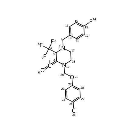 O=C=C1C(C(F)(F)F)N(Cc2ccc(F)cc2)CCN1COc1ccc(Cl)cc1